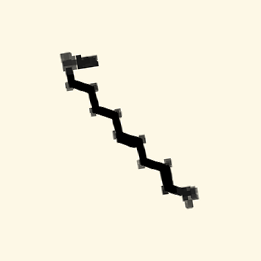 CCC=CCC=CCC[CH]CCCCCCC